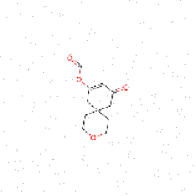 O=COC1=CC(=O)CC2(CCOCC2)C1